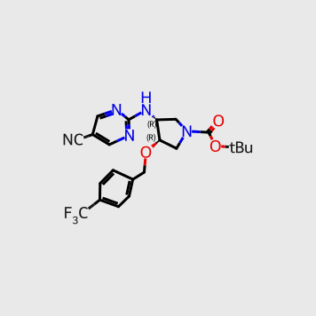 CC(C)(C)OC(=O)N1C[C@@H](Nc2ncc(C#N)cn2)[C@H](OCc2ccc(C(F)(F)F)cc2)C1